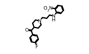 O=C(c1ccc(F)cc1)C1CCN(CCCNc2ccccc2[N+](=O)[O-])CC1